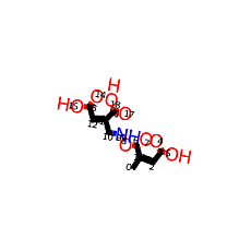 CC(=CC(=O)O)C(=O)ONCC(=CC(=O)O)C(=O)O